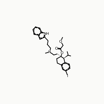 COCC(=O)O[C@]1(CCN(C)CCCc2cc3ccccc3[nH]2)CCc2cc(I)ccc2[C@@H]1C(C)C